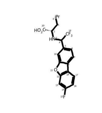 CC(C)C[C@H](NC(c1ccc2c(c1)oc1cc(F)ccc12)C(F)(F)F)C(=O)O